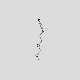 COCOCCN=C=S